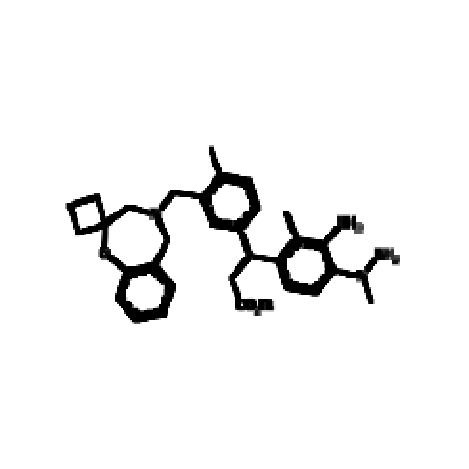 CCOC(=O)CC(c1ccc(C)c(CN2Cc3ccccc3OC3(CCC3)C2)c1)c1ccc(N(C)N)c(N)c1C